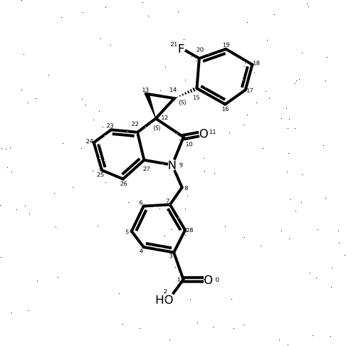 O=C(O)c1cccc(CN2C(=O)[C@]3(C[C@@H]3c3ccccc3F)c3ccccc32)c1